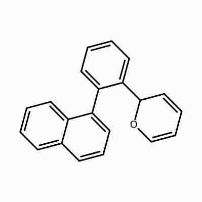 C1=COC(c2ccccc2-c2cccc3ccccc23)C=C1